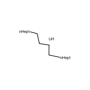 [CH2]CCCCCCCCCCCCCCCCC.[LiH]